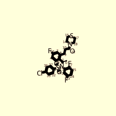 C[C@H](c1ccc(F)cc1CCC(=O)N1CCSCC1)N(c1cc(F)ccc1F)S(=O)(=O)c1ccc(Cl)cc1